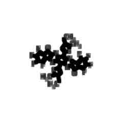 CCc1cc(-c2c3nc4c(=O)c5c(F)c(F)c(F)c(F)c5c4nc3c(-c3cc(CC)c(C)s3)c3nc4c(=O)c5c(F)c(F)c(F)c(F)c5c4nc23)sc1C